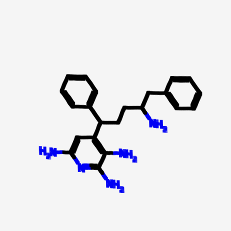 Nc1cc(C(CCC(N)Cc2ccccc2)c2ccccc2)c(N)c(N)n1